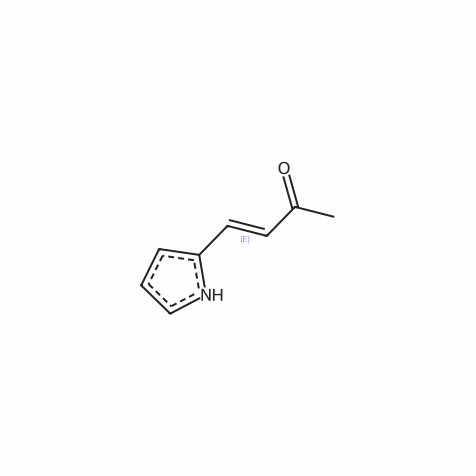 CC(=O)/C=C/c1ccc[nH]1